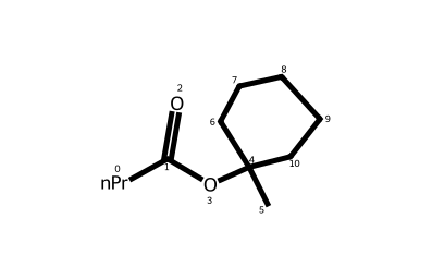 CCCC(=O)OC1(C)CCCCC1